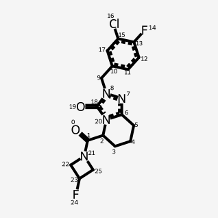 O=C(C1CCCc2nn(Cc3ccc(F)c(Cl)c3)c(=O)n21)N1CC(F)C1